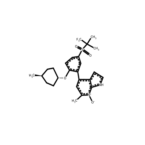 Cc1cc(-c2cc(S(=O)(=O)C(C)(C)C(F)(F)F)ccc2O[C@H]2CC[C@H](C)CC2)c2cc[nH]c2[n+]1[O-]